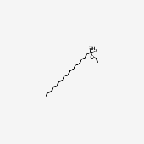 CCCCCCCCCCCCCCCCC(C)([SiH3])OCC